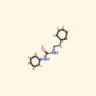 O=C(NCCc1ccccc1)Nc1cc[c]cc1